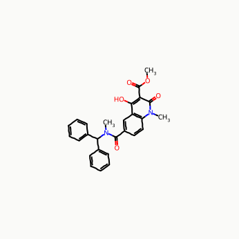 COC(=O)c1c(O)c2cc(C(=O)N(C)C(c3ccccc3)c3ccccc3)ccc2n(C)c1=O